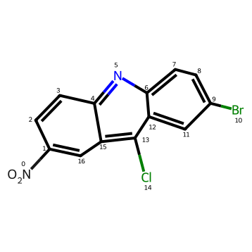 O=[N+]([O-])c1ccc2nc3ccc(Br)cc3c(Cl)c2c1